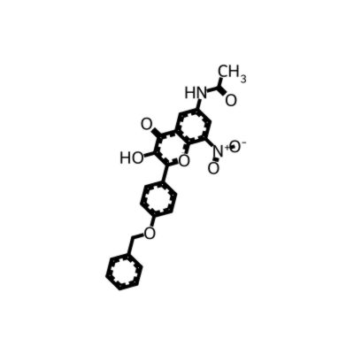 CC(=O)Nc1cc([N+](=O)[O-])c2oc(-c3ccc(OCc4ccccc4)cc3)c(O)c(=O)c2c1